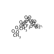 CC(=O)OC(C)=O.O=S(=O)([O-])C(F)(F)F.O=S(=O)([O-])C(F)(F)F.O=S(=O)([O-])C(F)(F)F.[Bi+3]